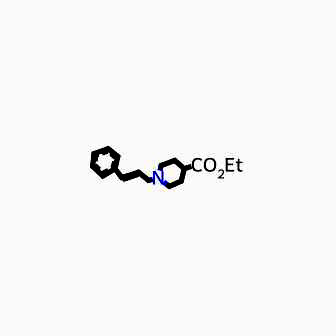 CCOC(=O)C1CCN(CC=Cc2ccccc2)CC1